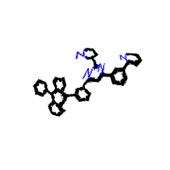 c1ccc(-c2c3ccccc3c(-c3cccc(-c4cc(-c5cccc(-c6ccccn6)c5)nc(-c5cccnc5)n4)c3)c3ccccc23)cc1